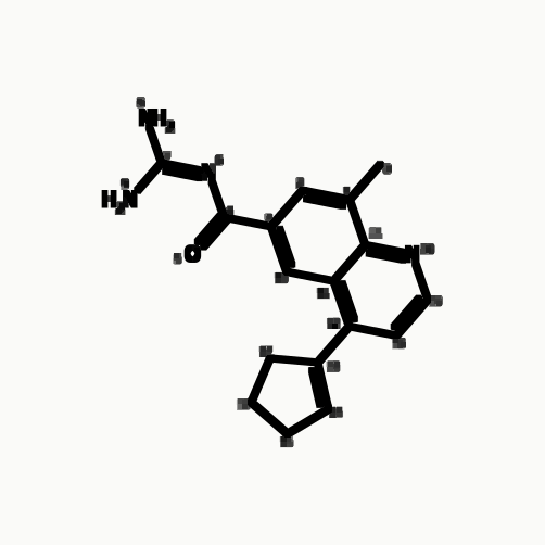 Cc1cc(C(=O)N=C(N)N)cc2c(C3=CCCC3)ccnc12